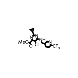 COC(=O)c1nc(C2CC2)nc(NCc2ccc(C(F)(F)F)nc2)c1Cl